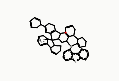 CC12CC=CC=C1C1C=CCCC1C21C2=C(CCC(C3C=CC=CC3)=C2)C2C=CC(N(C3=CCCCC3C3CC=CCC3)c3cccc4oc5ccccc5c34)CC21